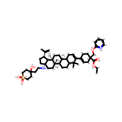 C=C(C)[C@@H]1CC[C@]2(NCCC3(O)CCS(=O)(=O)CC3)CC[C@]3(C)[C@H](CCC4[C@@]5(C)CC=C(C6=CCC(COc7ccccn7)(C(=O)OCC)CC6)C(C)(C)C5CC[C@]43C)C12